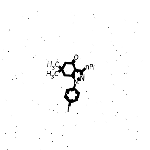 CCCc1nn(-c2ccc(I)cc2)c2c1C(=O)CC(C)(C)C2